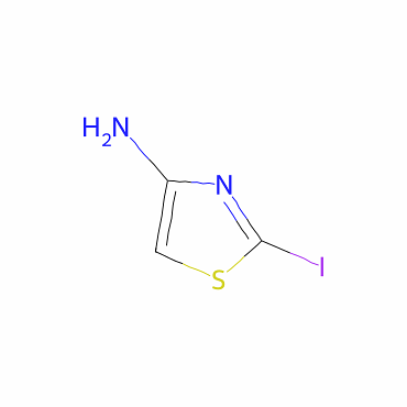 Nc1csc(I)n1